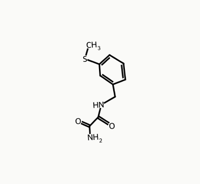 CSc1cccc(CNC(=O)C(N)=O)c1